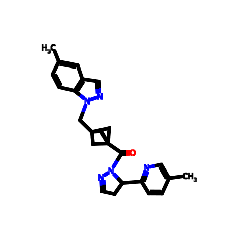 Cc1ccc(C2CC=NN2C(=O)C23CC(Cn4ncc5cc(C)ccc54)(C2)C3)nc1